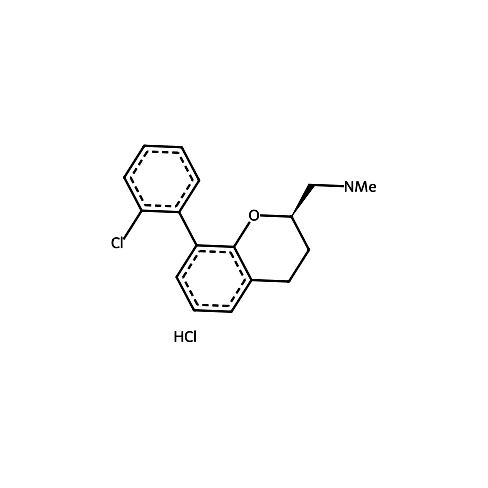 CNC[C@H]1CCc2cccc(-c3ccccc3Cl)c2O1.Cl